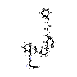 C#C/C=C\C=C(/C)c1cc(-c2cccc(-c3cccc(CCCCCCc4ccccc4)c3)c2)nc2ccccc12